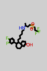 CC(CCS(=O)(=O)CCC(F)(F)F)NCCCCCCC1=C(c2ccc(F)c(F)c2)CCCc2cc(O)ccc21